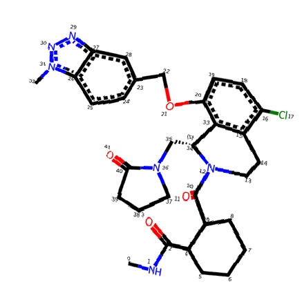 CNC(=O)C1CCCCC1C(=O)N1CCc2c(Cl)ccc(OCc3ccc4c(c3)nnn4C)c2[C@H]1CN1CCCC1=O